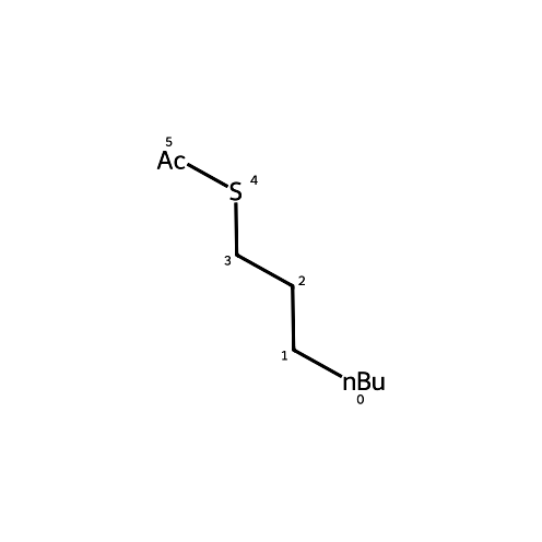 CCCCCCCSC(C)=O